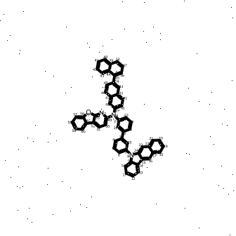 c1cc(-c2cccc(-n3c4ccccc4c4cc5ccccc5cc43)c2)cc(N(c2ccc3cc(-c4cccc5ccccc45)ccc3c2)c2ccc3c(n2)oc2ccccc23)c1